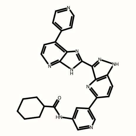 O=C(Nc1cncc(-c2ccc3[nH]nc(-c4nc5c(-c6ccncc6)ccnc5[nH]4)c3n2)c1)C1CCCCC1